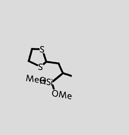 CO[SiH](OC)C(C)CC1SCCS1